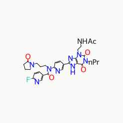 CCCn1c(=O)c2[nH]c(-c3ccc(N(CCCN4CCCC4=O)C(=O)c4ccc(F)nc4)nc3)nc2n(CCNC(C)=O)c1=O